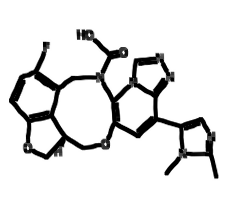 Cc1ncc(-c2cc3c(n4cnnc24)N(C(=O)O)Cc2c(F)ccc4c2[C@@H](CO4)CO3)n1C